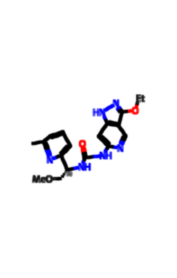 CCOc1n[nH]c2cc(NC(=O)N[C@H](COC)c3cccc(C)n3)ncc12